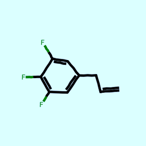 C=CCc1cc(F)c(F)c(F)c1